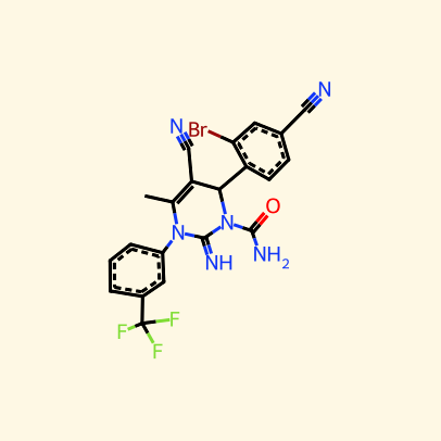 CC1=C(C#N)C(c2ccc(C#N)cc2Br)N(C(N)=O)C(=N)N1c1cccc(C(F)(F)F)c1